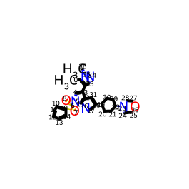 Cc1c(-c2cn(S(=O)(=O)c3ccccc3)c3ncc([C@H]4CC[C@H](N5CCOCC5)CC4)cc23)cnn1C